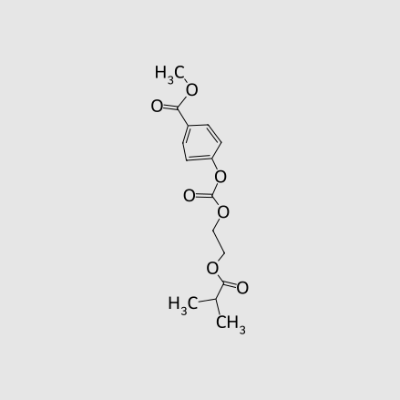 COC(=O)c1ccc(OC(=O)OCCOC(=O)C(C)C)cc1